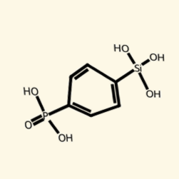 O=P(O)(O)c1ccc([Si](O)(O)O)cc1